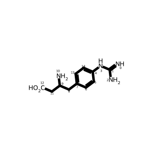 N=C(N)Nc1ccc(CC(N)CC(=O)O)cc1